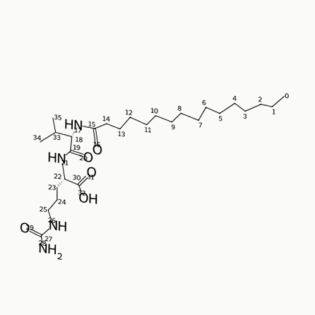 CCCCCCCCCCCCCCCC(=O)N[C@H](C(=O)N[C@@H](CCCNC(N)=O)C(=O)O)C(C)C